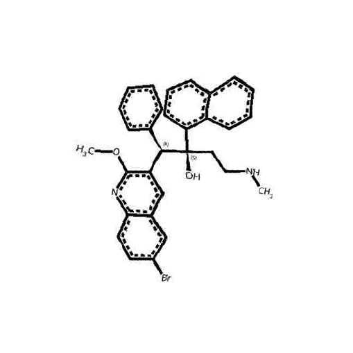 CNCC[C@@](O)(c1cccc2ccccc12)[C@H](c1ccccc1)c1cc2cc(Br)ccc2nc1OC